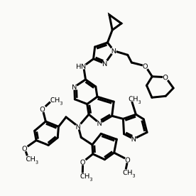 COc1ccc(CN(Cc2ccc(OC)cc2OC)c2nc(-c3cnccc3C)cc3cc(Nc4cc(C5CC5)n(CCOC5CCCCO5)n4)ncc23)c(OC)c1